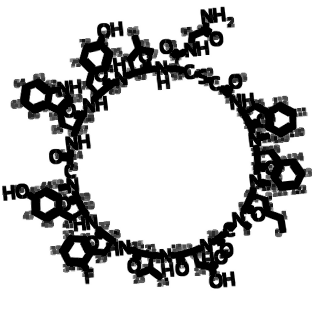 CCCC[C@H]1C(=O)N(C)CC(=O)N[C@@H](CC(=O)O)C(=O)N[C@@H](C(C)C)C(=O)N[C@@H](Cc2ccccc2F)C(=O)N[C@@H](Cc2ccc(O)cc2)C(=O)N(C)CC(=O)N[C@@H](Cc2c[nH]c3ccccc23)C(=O)N[C@@H](Cc2ccc(O)cc2)C(=O)N[C@@H](CC(C)C)C(=O)N[C@H](C(=O)NCC(N)=O)CSCC(=O)N[C@@H](Cc2ccccc2)C(=O)N(C)[C@@H](Cc2ccccc2)C(=O)N1C